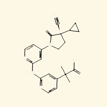 CC(C)(C(N)=O)c1ccnc(Nc2cc(N3CC[C@@](C#N)(C4CC4)C3=O)ccn2)c1